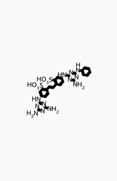 Nc1nc(N)nc(Nc2ccc(C=Cc3ccc(Nc4nc(N)nc(Nc5ccccc5)n4)cc3S(=O)(=O)O)c(S(=O)(=O)O)c2)n1